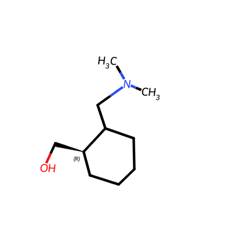 CN(C)CC1CCCC[C@H]1CO